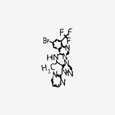 CC(Nc1ncnc2c(C(F)(F)F)cc(Br)cc12)c1ncnn1-c1ncccn1